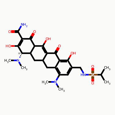 CC(C)S(=O)(=O)NCc1cc(N(C)C)c2c(c1O)C(=O)C1=C(O)C3C(=O)C(C(N)=O)=C(O)[C@@H](N(C)C)C3CC1C2